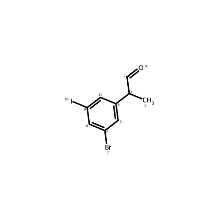 CC(C=O)c1cc(Br)cc(I)c1